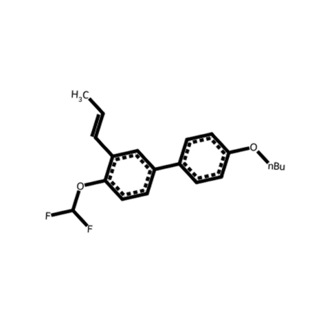 C/C=C/c1cc(-c2ccc(OCCCC)cc2)ccc1OC(F)F